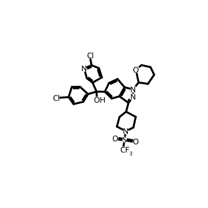 O=S(=O)(N1CCC(c2nn(C3CCCCO3)c3ccc(C(O)(c4ccc(Cl)cc4)c4ccc(Cl)nc4)cc23)CC1)C(F)(F)F